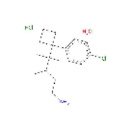 CC(CCN)C(C)(C)C1(c2ccc(Cl)cc2)CCC1.Cl.O